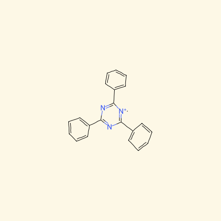 c1ccc(C2=NC(c3ccccc3)=[N+]C(c3ccccc3)=N2)cc1